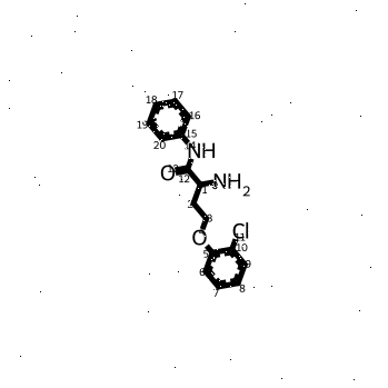 NC(CCOc1ccccc1Cl)C(=O)Nc1ccccc1